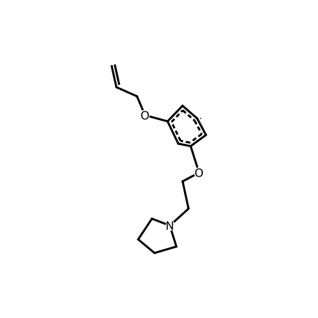 C=CCOc1c[c]cc(OCCN2CCCC2)c1